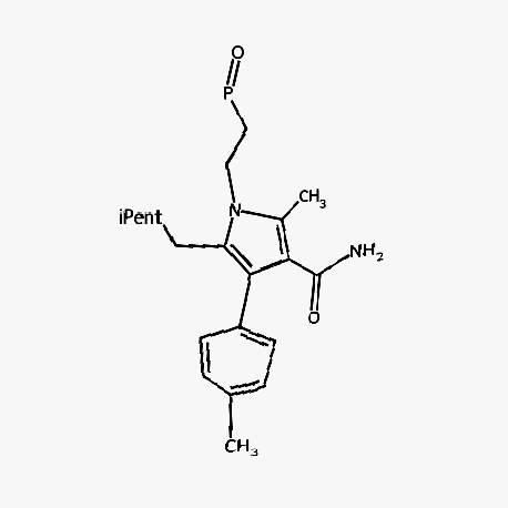 CCCC(C)Cc1c(-c2ccc(C)cc2)c(C(N)=O)c(C)n1CCP=O